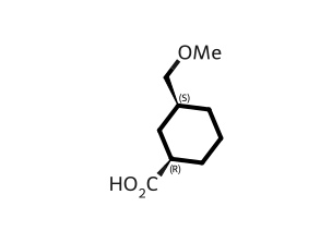 COC[C@H]1CCC[C@@H](C(=O)O)C1